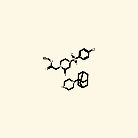 C1CN(C23CC4CC(CC(C4)C2)C3)CCN1.CC(C)(C)OC(=O)CN1CCN(S(=O)(=O)c2ccc(Cl)cc2)CC1=O